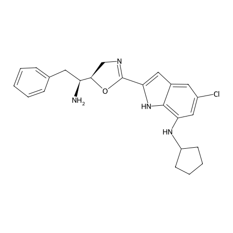 N[C@@H](Cc1ccccc1)[C@H]1CN=C(c2cc3cc(Cl)cc(NC4CCCC4)c3[nH]2)O1